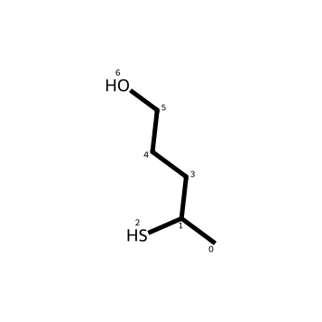 CC(S)CCCO